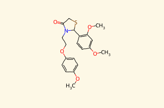 COc1ccc(OCCN2C(=O)CSC2c2ccc(OC)cc2OC)cc1